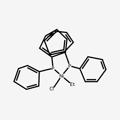 C[CH2][Ni]([Cl])([P](c1ccccc1)c1ccccc1)[P](c1ccccc1)c1ccccc1